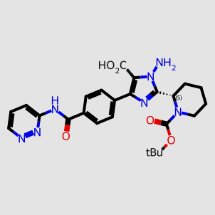 CC(C)(C)OC(=O)N1CCCC[C@H]1c1nc(-c2ccc(C(=O)Nc3cccnn3)cc2)c(C(=O)O)n1N